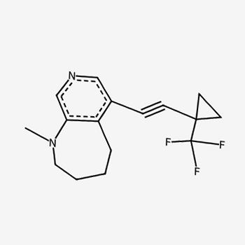 CN1CCCCc2c(C#CC3(C(F)(F)F)CC3)cncc21